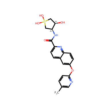 O=C(N[C@H]1CS(O)(O)C[C@H]1O)c1ccc2cc(Oc3ccc(C(F)(F)F)cn3)ccc2n1